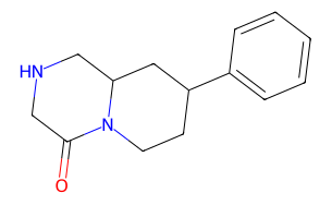 O=C1CNCC2CC(c3ccccc3)CCN12